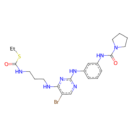 CCSC(=O)NCCCNc1nc(Nc2cccc(NC(=O)N3CCCC3)c2)ncc1Br